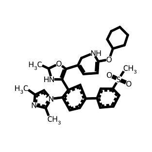 Cc1cn(-c2ccc(-c3cccc(S(C)(=O)=O)c3)cc2C2=C(C3=CC=C(OC4CCCCC4)NC3)OC(C)N2)c(C)n1